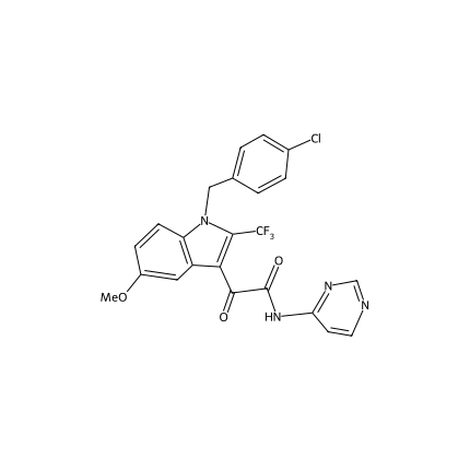 COc1ccc2c(c1)c(C(=O)C(=O)Nc1ccncn1)c(C(F)(F)F)n2Cc1ccc(Cl)cc1